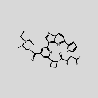 CCN(CC)[C@@H](C)CNC(=O)c1cc(-c2cnn3ccc(-c4cccs4)nc23)nc(N2CC[C@H]2C(=O)NCC(F)F)c1